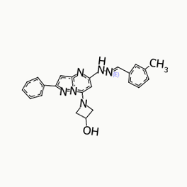 Cc1cccc(/C=N/Nc2cc(N3CC(O)C3)n3nc(-c4ccccc4)cc3n2)c1